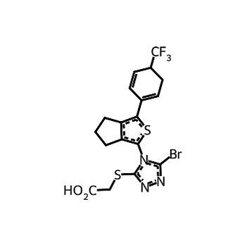 O=C(O)CSc1nnc(Br)n1-c1sc(C2=CCC(C(F)(F)F)C=C2)c2c1CCC2